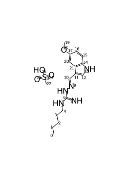 CCCCCNC(=N)N/N=C/c1c[nH]c2ccc(OC)cc12.CS(=O)(=O)O